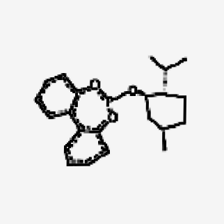 CC(C)[C@@H]1CC[C@@H](C)C[C@H]1Op1oc2ccccc2c2ccccc2o1